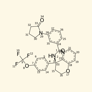 O=C(N[C@]1(c2ccc(OC(F)(F)F)cc2)CCOc2cccnc21)c1cccc(N2CCCC2=O)c1